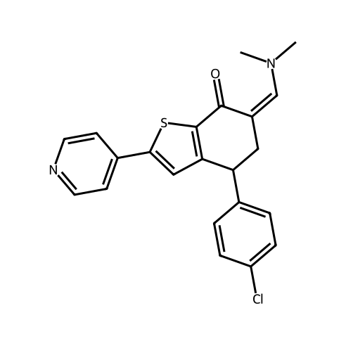 CN(C)/C=C1/CC(c2ccc(Cl)cc2)c2cc(-c3ccncc3)sc2C1=O